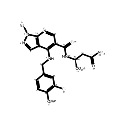 CCn1ncc2c(NCc3ccc(OC)c(Cl)c3)c(C(=O)N[C@@H](CC(N)=O)C(=O)O)cnc21